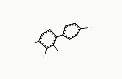 O=C(O)c1ccc(-c2ccc(C(=O)O)c(F)c2F)cc1